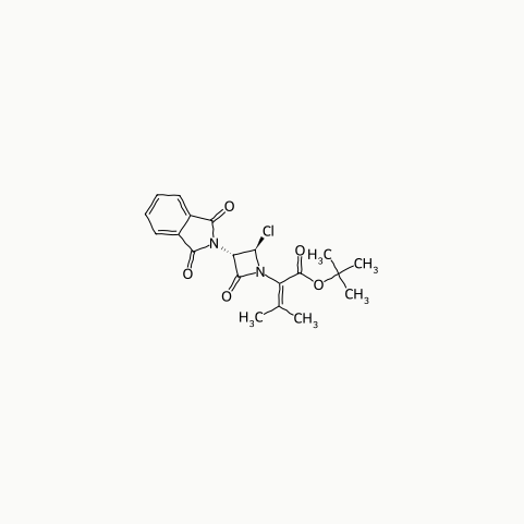 CC(C)=C(C(=O)OC(C)(C)C)N1C(=O)[C@H](N2C(=O)c3ccccc3C2=O)[C@H]1Cl